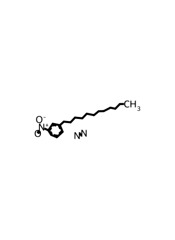 CCCCCCCCCCCCc1cccc([N+](=O)[O-])c1.N#N